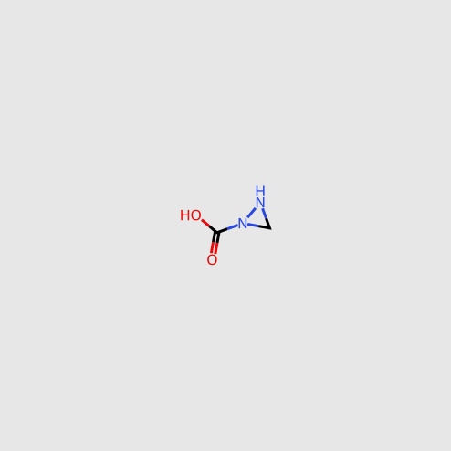 O=C(O)N1CN1